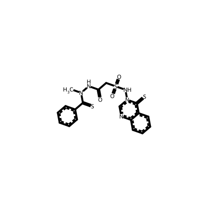 CN(NC(=O)CS(=O)(=O)Nn1cnc2ccccc2c1=S)C(=S)c1ccccc1